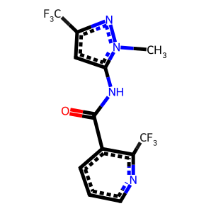 Cn1nc(C(F)(F)F)cc1NC(=O)c1cccnc1C(F)(F)F